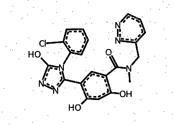 CN(Cc1cccnn1)C(=O)c1cc(-c2nnc(O)n2-c2ccccc2Cl)c(O)cc1O